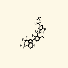 CCc1ccc(-c2cc(C(F)(F)F)c3c(N)ncnn23)c(F)c1C(=O)N[C@@H]1CN(C(=O)OC(C)(C)C)C[C@@H]1F